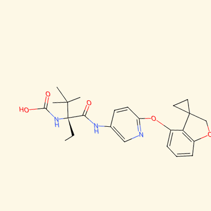 CC[C@](NC(=O)O)(C(=O)Nc1ccc(Oc2cccc3c2C2(CC2)CO3)nc1)C(C)(C)C